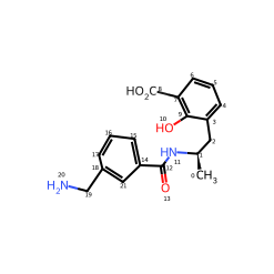 C[C@H](Cc1cccc(C(=O)O)c1O)NC(=O)c1cccc(CN)c1